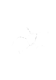 CC1=C(C)[CH]([Ga][CH](C)C)C(C)=C1C